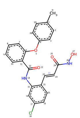 Cc1ccc(Oc2ccccc2C(=O)Nc2cc(Cl)ccc2/C=C/C(=O)NO)cc1